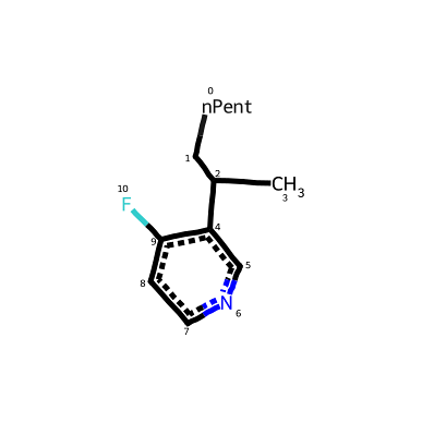 CCCCCCC(C)c1cnccc1F